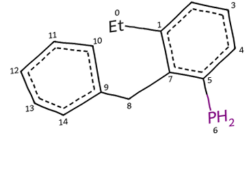 CCc1cccc(P)c1Cc1ccccc1